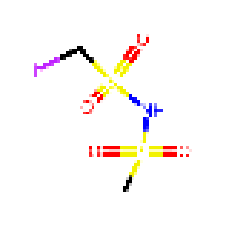 CS(=O)(=O)NS(=O)(=O)CI